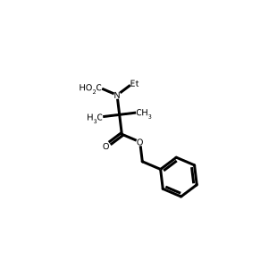 CCN(C(=O)O)C(C)(C)C(=O)OCc1ccccc1